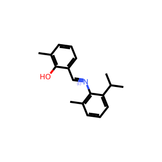 Cc1cccc(/C=N/c2c(C)cccc2C(C)C)c1O